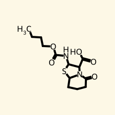 CCCCOC(=O)NC1SC2CCCC(=O)N2C1C(=O)O